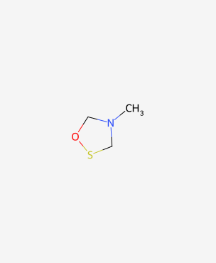 CN1COSC1